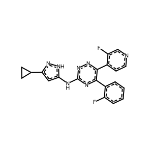 Fc1cnccc1-c1nnc(Nc2cc(C3CC3)n[nH]2)nc1-c1ccccc1F